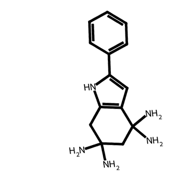 NC1(N)Cc2[nH]c(-c3ccccc3)cc2C(N)(N)C1